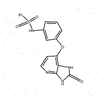 CC(C)S(=O)(=O)Nc1cccc(Oc2ccnc3[nH]c(=O)[nH]c23)c1